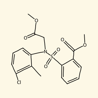 COC(=O)CN(c1cccc(Cl)c1C)S(=O)(=O)c1ccccc1C(=O)OC